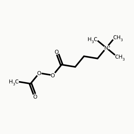 CC(=O)OOC(=O)CCC[N+](C)(C)C